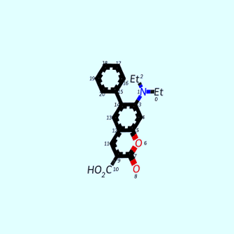 CCN(CC)c1cc2oc(=O)c(C(=O)O)cc2cc1-c1ccccc1